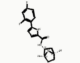 O=C(N[C@@H]1C[C@H]2CC[C@@H]1N2)c1ccc(-c2ccc(F)cc2F)[nH]1